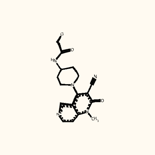 Cn1c(=O)c(C#N)c(N2CCC(NC(=O)CCl)CC2)c2cnccc21